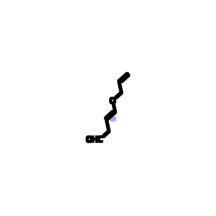 C=CCO/C=C/CC=O